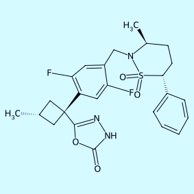 C[C@H]1CC[C@H](c2ccccc2)S(=O)(=O)N1Cc1cc(F)c([C@]2(c3n[nH]c(=O)o3)C[C@@H](C)C2)cc1F